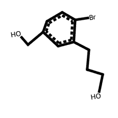 OCCCc1cc(CO)ccc1Br